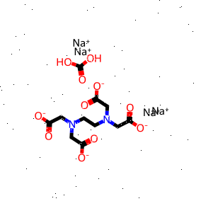 O=C(O)O.O=C([O-])CN(CCN(CC(=O)[O-])CC(=O)[O-])CC(=O)[O-].[Na+].[Na+].[Na+].[Na+]